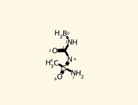 BNC(=O)N=S(C)(N)=O